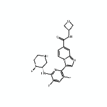 O=C(NC1COC1)c1ccn2c(-c3nc(N[C@H]4CNCC[C@@H]4F)c(F)cc3F)cnc2c1